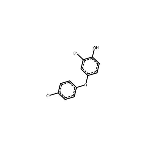 Oc1ccc(Oc2ccc(Cl)cc2)cc1Br